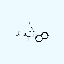 COCP(=O)(N[C@@H](C)C(=O)OC(C)C)Oc1cccc2ccccc12